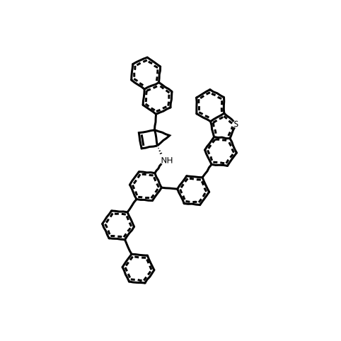 C1=C[C@]2(Nc3ccc(-c4cccc(-c5ccccc5)c4)cc3-c3cccc(-c4ccc5sc6ccccc6c5c4)c3)CC12c1ccc2ccccc2c1